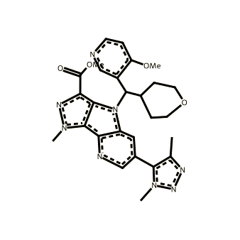 COC(=O)c1nn(C)c2c3ncc(-c4c(C)nnn4C)cc3n(C(c3cnccc3OC)C3CCOCC3)c12